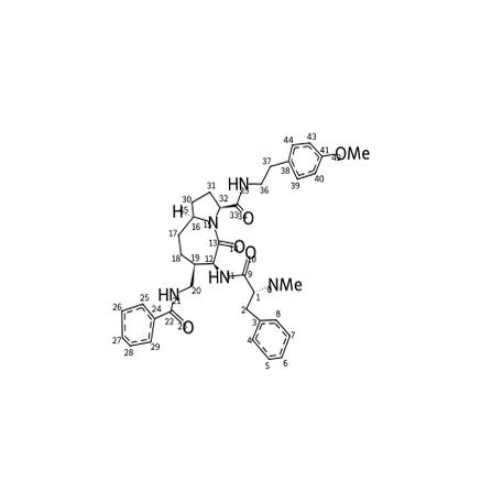 CN[C@H](Cc1ccccc1)C(=O)N[C@@H]1C(=O)N2[C@@H](CC[C@@H]1CNC(=O)c1ccccc1)CC[C@H]2C(=O)NCCc1ccc(OC)cc1